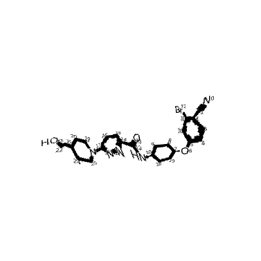 N#Cc1ccc(O[C@H]2CC[C@H](NC(=O)c3ccc(N4CCC(CO)CC4)nn3)CC2)cc1Br